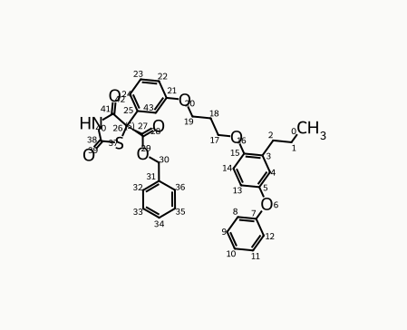 CCCc1cc(Oc2ccccc2)ccc1OCCCOc1cccc([C@]2(C(=O)OCc3ccccc3)SC(=O)NC2=O)c1